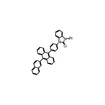 CC(C)n1c(=O)n(-c2ccc(-c3c4ccccc4c(-c4ccc5ccccc5c4)c4ccccc34)cc2)c2ccccc21